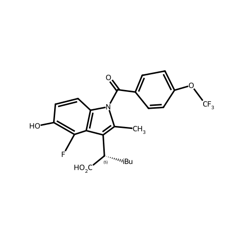 CCC(C)[C@H](C(=O)O)c1c(C)n(C(=O)c2ccc(OC(F)(F)F)cc2)c2ccc(O)c(F)c12